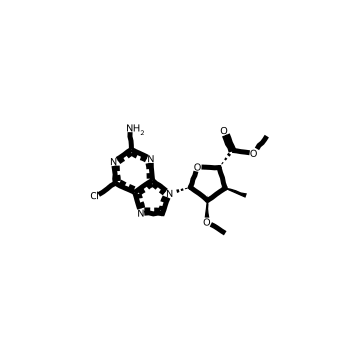 COC(=O)[C@H]1O[C@@H](n2cnc3c(Cl)nc(N)nc32)[C@H](OC)[C@@H]1C